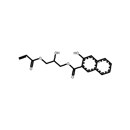 C=CC(=O)OCC(O)COC(=O)c1cc2ccccc2cc1O